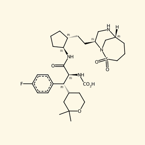 CC1(C)CC([C@H](c2ccc(F)cc2)[C@H](NC(=O)O)C(=O)N[C@H]2CCC[C@@H]2CC[C@H]2CN[C@@H]3CCCS(=O)(=O)N2C3)CCO1